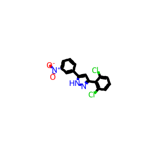 O=[N+]([O-])c1cccc(-c2cc(-c3c(Cl)cccc3Cl)n[nH]2)c1